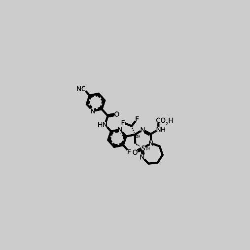 N#Cc1ccc(C(=O)Nc2ccc(F)c([C@]3(C(F)F)C[S@@]4(=O)=NCCCCN4C(NC(=O)O)=N3)n2)nc1